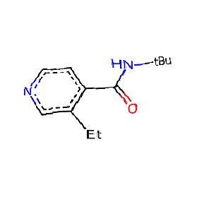 CCc1cnccc1C(=O)NC(C)(C)C